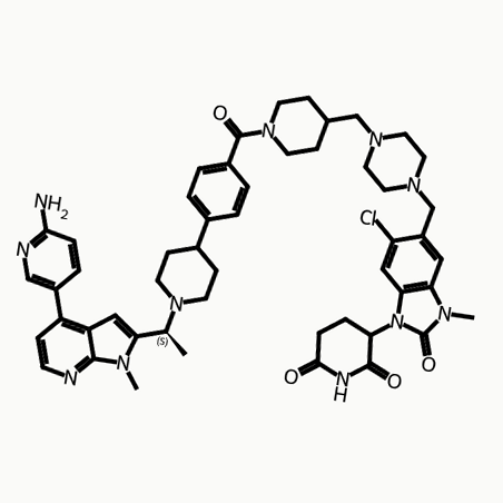 C[C@@H](c1cc2c(-c3ccc(N)nc3)ccnc2n1C)N1CCC(c2ccc(C(=O)N3CCC(CN4CCN(Cc5cc6c(cc5Cl)n(C5CCC(=O)NC5=O)c(=O)n6C)CC4)CC3)cc2)CC1